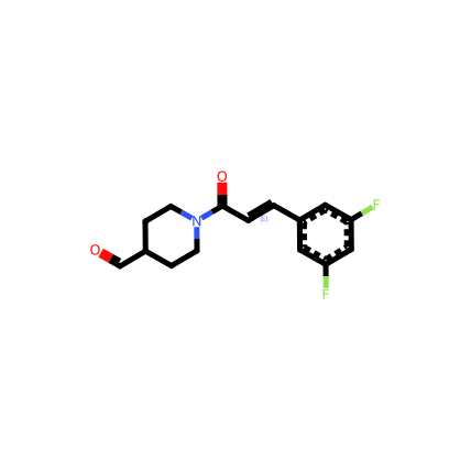 O=CC1CCN(C(=O)/C=C/c2cc(F)cc(F)c2)CC1